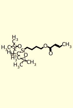 CC=CC(=O)OCCCC[Si](C)(O[Si](C)(C)C)O[Si](C)(C)C